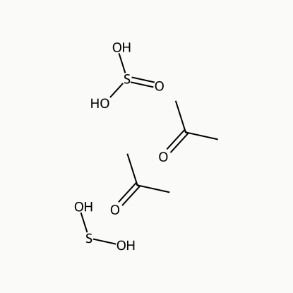 CC(C)=O.CC(C)=O.O=S(O)O.OSO